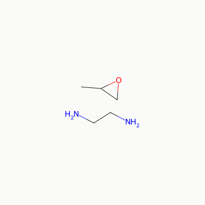 CC1CO1.NCCN